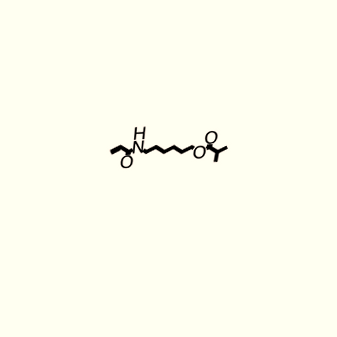 C=CC(=O)NCCCCCCOC(=O)C(C)C